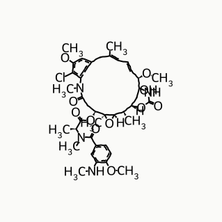 CNc1cc(C(=O)N(C)[C@@H](C)C(=O)O[C@H]2CC(=O)N(C)c3cc(cc(OC)c3Cl)C/C(C)=C/C=C/[C@@H](OC)[C@@]3(O)C[C@H](OC(=O)N3)[C@@H](C)[C@@H]3O[C@@]23C)ccc1OC